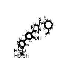 CC[C@@H]1CCC[C@H](F)[C@H](N(C)c2cnc(-c3ccc(-c4cnnc(OC(S)(S)S)c4)cc3O)nn2)C1